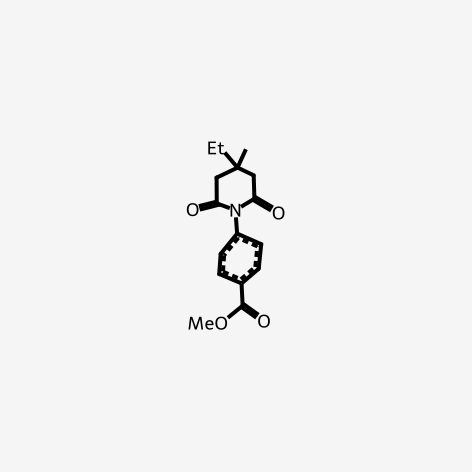 CCC1(C)CC(=O)N(c2ccc(C(=O)OC)cc2)C(=O)C1